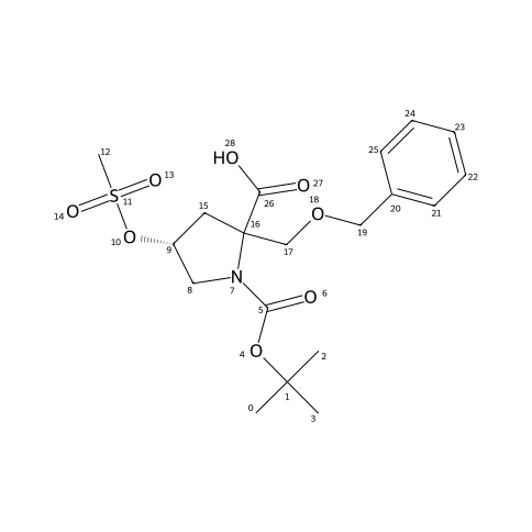 CC(C)(C)OC(=O)N1C[C@H](OS(C)(=O)=O)CC1(COCc1ccccc1)C(=O)O